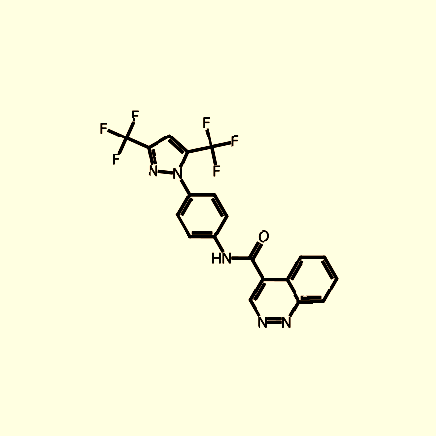 O=C(Nc1ccc(-n2nc(C(F)(F)F)cc2C(F)(F)F)cc1)c1cnnc2ccccc12